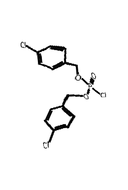 O=P(Cl)(OCc1ccc(Cl)cc1)OCc1ccc(Cl)cc1